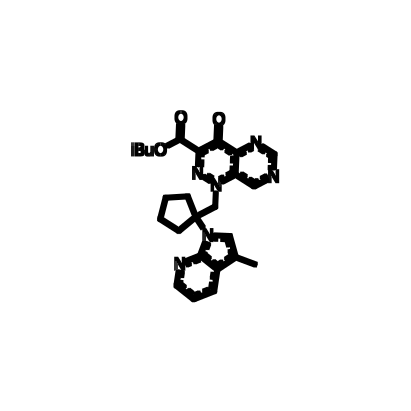 Cc1cn(C2(Cn3nc(C(=O)OCC(C)C)c(=O)c4ncncc43)CCCC2)c2ncccc12